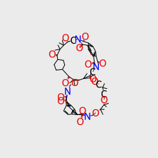 CC1(C)COC(C)(C)C(C)(C)OCN2C(=O)c3ccc4c5c(ccc(c35)C2=O)C(=O)N(COC2(C)C(C)(C)C(=O)C3CCC(CC3)C(=O)C(C)(C)C(C)(C)C(=O)CN3C(=O)c5ccc6c7c(ccc(c57)C3=O)C(=O)N(CC(=O)C2(C)C(C)(C)OC1)C6=O)C4=O